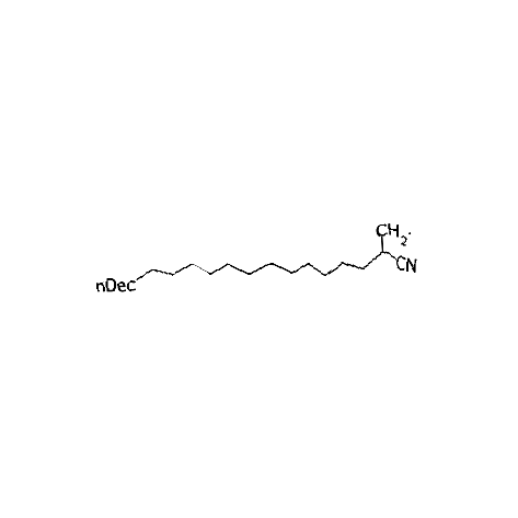 [CH2]C(C#N)CCCCCCCCCCCCCCCCCCCCCC